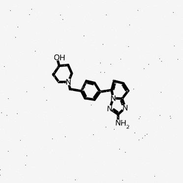 Nc1nc2cccc(-c3ccc(CN4CCC(O)CC4)cc3)n2n1